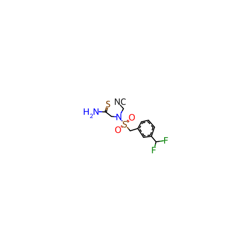 N#CCN(CC(N)=S)S(=O)(=O)Cc1cccc(C(F)F)c1